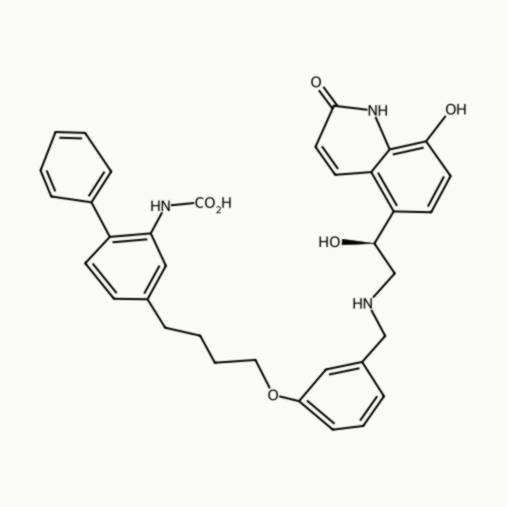 O=C(O)Nc1cc(CCCCOc2cccc(CNC[C@@H](O)c3ccc(O)c4[nH]c(=O)ccc34)c2)ccc1-c1ccccc1